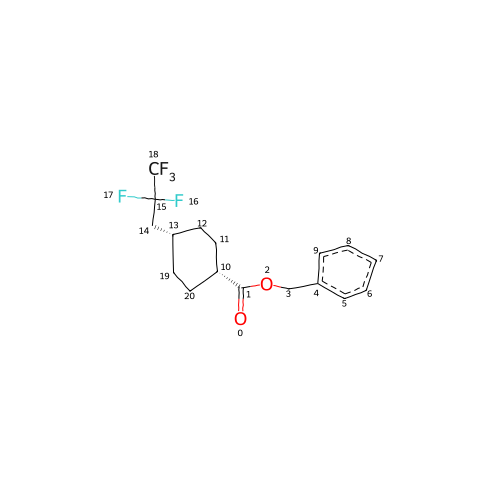 O=C(OCc1ccccc1)[C@H]1CC[C@@H](CC(F)(F)C(F)(F)F)CC1